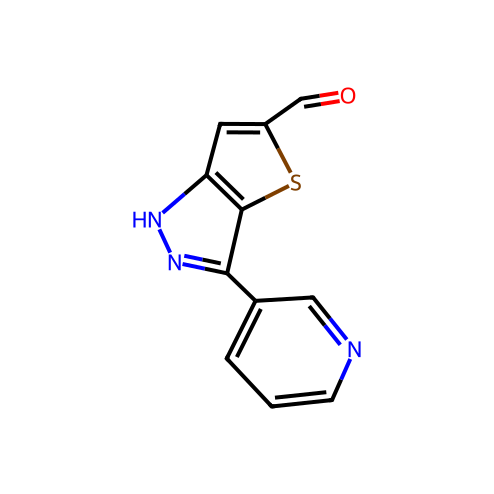 O=Cc1cc2[nH]nc(-c3cccnc3)c2s1